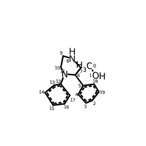 CO.c1ccc(C2CNCCN2c2ccccc2)cc1